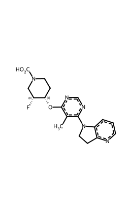 Cc1c(O[C@H]2CCN(C(=O)O)C[C@H]2F)ncnc1N1CCc2ncccc21